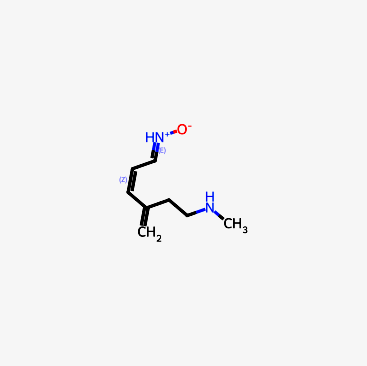 C=C(/C=C\C=[NH+]\[O-])CCNC